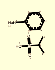 CC(C)S(=O)(=O)O.Cc1ccccc1.[NaH]